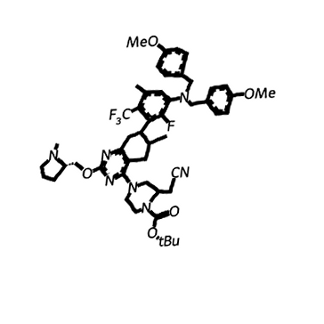 COc1ccc(CN(Cc2ccc(OC)cc2)c2cc(C)c(C(F)(F)F)c(C3Cc4nc(OC[C@@H]5CCCN5C)nc(N5CCN(C(=O)OC(C)(C)C)C(CC#N)C5)c4CC3C)c2F)cc1